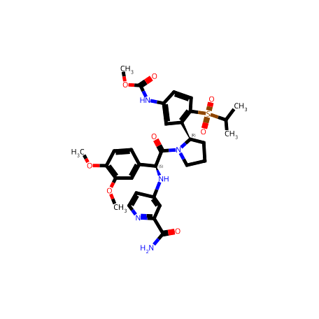 COC(=O)Nc1ccc(S(=O)(=O)C(C)C)c([C@H]2CCCN2C(=O)[C@@H](Nc2ccnc(C(N)=O)c2)c2ccc(OC)c(OC)c2)c1